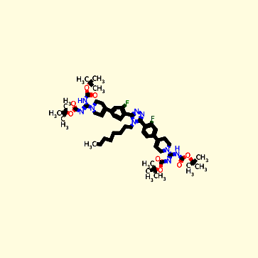 CCCCCCCCn1c(-c2ccc(C3=CCN(/C(=N\C(=O)OC(C)(C)C)NC(=O)OC(C)(C)C)CC3)cc2F)nnc1-c1ccc(C2=CCN(/C(=N/C(=O)OC(C)(C)C)NC(=O)OC(C)(C)C)CC2)cc1F